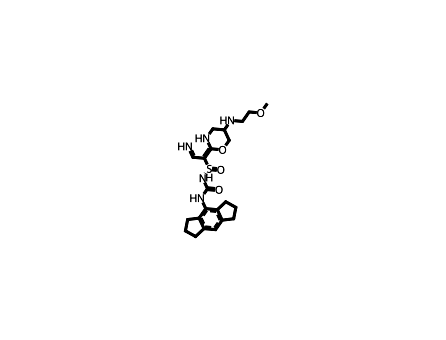 COCCNC1CN/C(=C(\C=N)[SH](=O)=NC(=O)Nc2c3c(cc4c2CCC4)CCC3)OC1